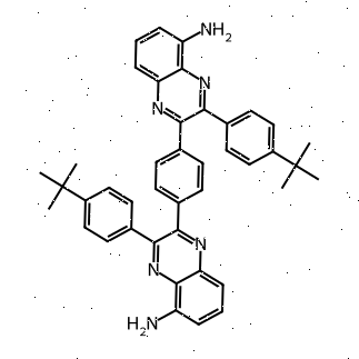 CC(C)(C)c1ccc(-c2nc3c(N)cccc3nc2-c2ccc(-c3nc4cccc(N)c4nc3-c3ccc(C(C)(C)C)cc3)cc2)cc1